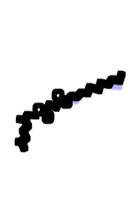 C/C=C/CCCCCC/C=C/OC(=O)CCC(=O)OCCC(C)CCC=C(C)C